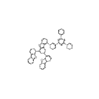 c1ccc(-c2nc(-c3ccccc3)nc(-c3cccc(-c4cccc5oc6c(-c7cccc8c7oc7ccccc78)cc(-c7cccc8c7oc7ccccc78)cc6c45)c3)n2)cc1